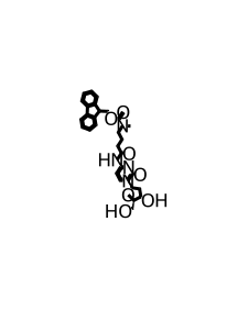 CN(CCCC(=O)Nc1ccn([C@H]2CC(O)[C@@H](CO)O2)c(=O)n1)C(=O)OCC1c2ccccc2-c2ccccc21